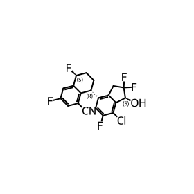 N#Cc1cc(F)cc2c1[C@@H](c1cc(F)c(Cl)c3c1CC(F)(F)[C@H]3O)CC[C@@H]2F